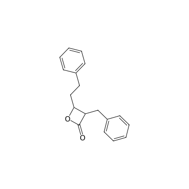 O=C1OC(CCc2ccccc2)C1Cc1ccccc1